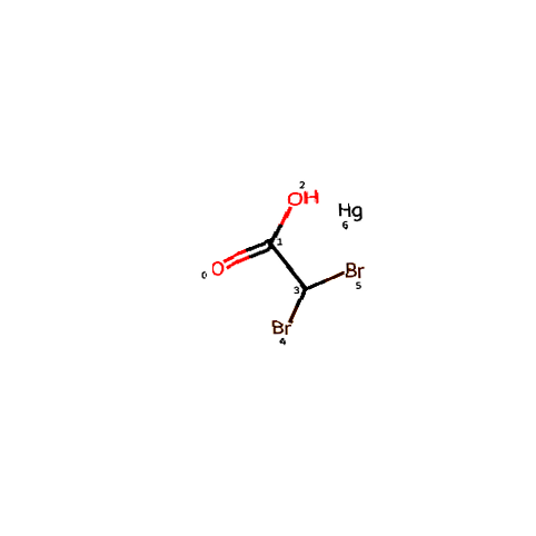 O=C(O)C(Br)Br.[Hg]